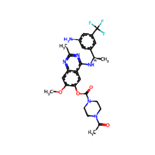 COc1cc2nc(C)nc(N[C@H](C)c3cc(N)cc(C(F)(F)F)c3)c2cc1OC(=O)N1CCN(C(C)=O)CC1